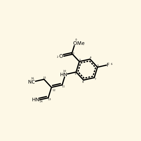 COC(=O)c1cc(F)ccc1NC=C(C=N)CC#N